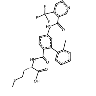 CSCC[C@H](NC(=O)c1ccc(NC(=O)c2cnccc2C(F)(F)F)cc1-c1ccccc1C)C(=O)O